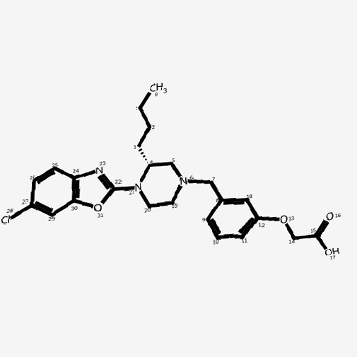 CCCC[C@@H]1CN(Cc2cccc(OCC(=O)O)c2)CCN1c1nc2ccc(Cl)cc2o1